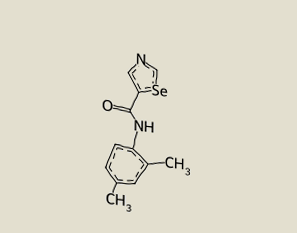 Cc1ccc(NC(=O)c2cnc[se]2)c(C)c1